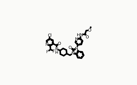 COCC(=O)Nc1ccc(-n2c(=O)n(CC3CCC(NC(=O)c4cc(Cl)cnc4C(F)F)CC3)c3ccccc32)cn1